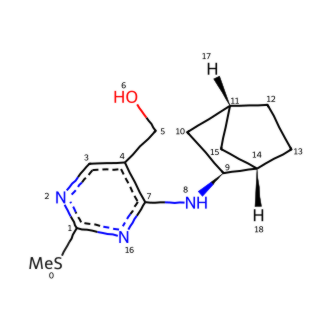 CSc1ncc(CO)c(N[C@H]2C[C@@H]3CC[C@H]2C3)n1